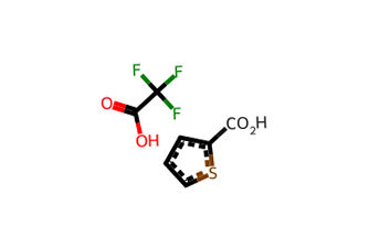 O=C(O)C(F)(F)F.O=C(O)c1cccs1